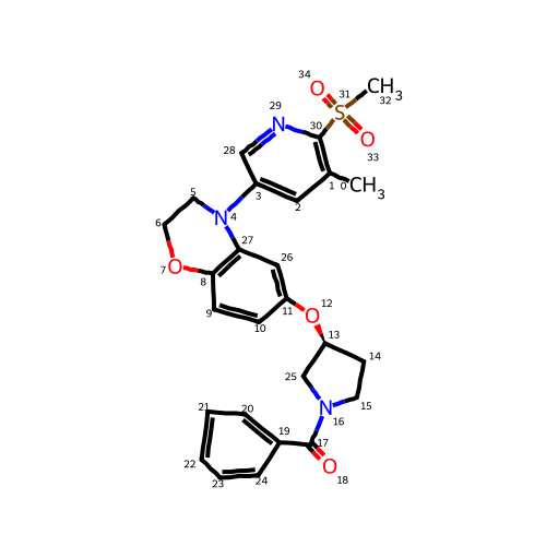 Cc1cc(N2CCOc3ccc(O[C@H]4CCN(C(=O)c5ccccc5)C4)cc32)cnc1S(C)(=O)=O